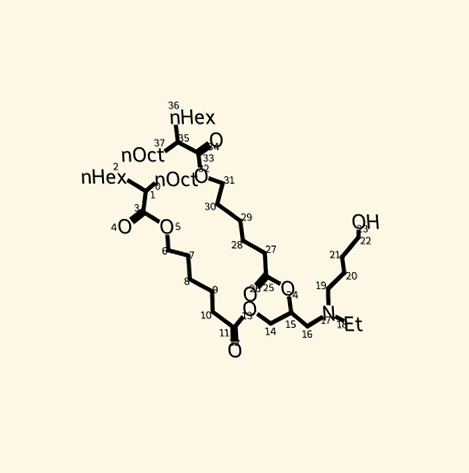 CCCCCCCCC(CCCCCC)C(=O)OCCCCCC(=O)OCC(CN(CC)CCCCO)OC(=O)CCCCCOC(=O)C(CCCCCC)CCCCCCCC